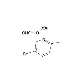 CC(C)(C)OC=O.Fc1ccc(Br)cn1